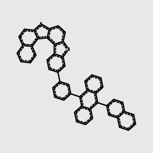 c1cc(-c2ccc3c(c2)sc2ccc4sc5ccc6ccccc6c5c4c23)cc(-c2c3ccccc3c(-c3ccc4ccccc4c3)c3ccccc23)c1